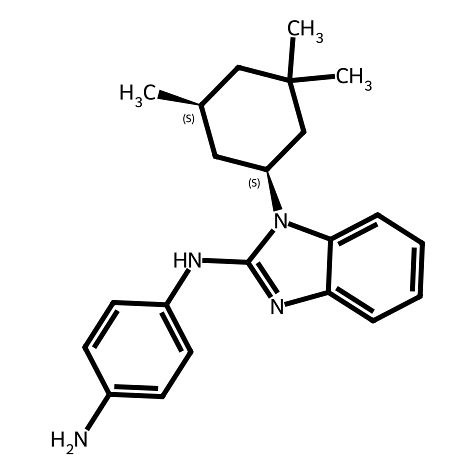 C[C@@H]1C[C@H](n2c(Nc3ccc(N)cc3)nc3ccccc32)CC(C)(C)C1